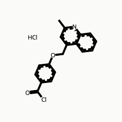 Cc1cc(COc2ccc(C(=O)Cl)cc2)c2ccccc2n1.Cl